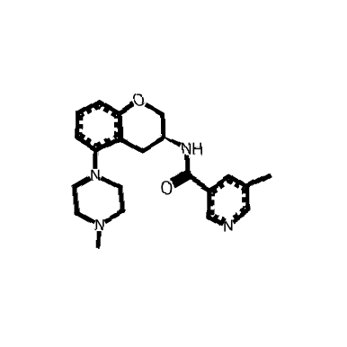 Cc1cncc(C(=O)N[C@@H]2COc3cccc(N4CCN(C)CC4)c3C2)c1